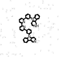 C1=Cc2c(c3ccccc3n2-c2cccc(-c3cccc(-c4cccc(-c5cccc(-n6c7ccccc7c7cnccc76)c5)n4)n3)c2)CN1